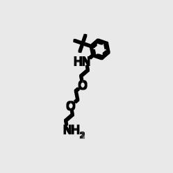 CC(C)(C)c1ccccc1NCCOCCOCCN